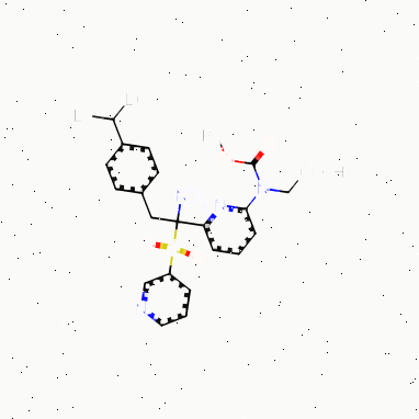 CCC(CC)c1ccc(CC(N)(c2cccc(N(CC(=O)O)C(=O)OC(C)(C)C)n2)S(=O)(=O)c2cccnc2)cc1